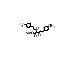 COC(=O)C(C(=O)/C=C/c1ccc(N)cc1)C(=O)/C=C/c1ccc(N)cc1